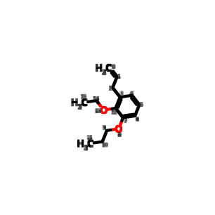 C=CCc1cccc(OCCC)c1OCC